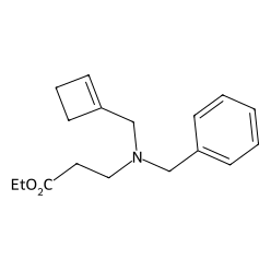 CCOC(=O)CCN(CC1=CCC1)Cc1ccccc1